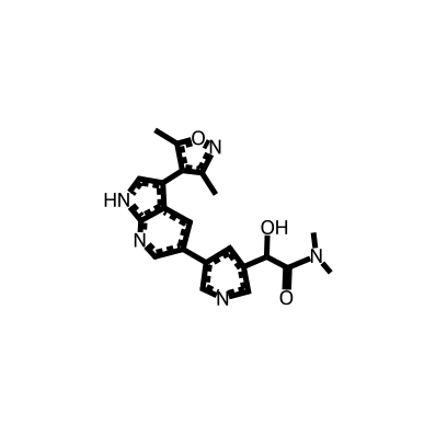 Cc1noc(C)c1-c1c[nH]c2ncc(-c3cncc(C(O)C(=O)N(C)C)c3)cc12